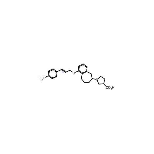 O=C(O)C1CCN(C2CCCc3c(cccc3OC/C=C/c3ccc(C(F)(F)F)cc3)C2)C1